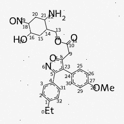 CCc1ccc(-c2noc(CC(=O)OCC3CC(O)C(N=O)CC3N)c2-c2ccc(OC)cc2)cc1